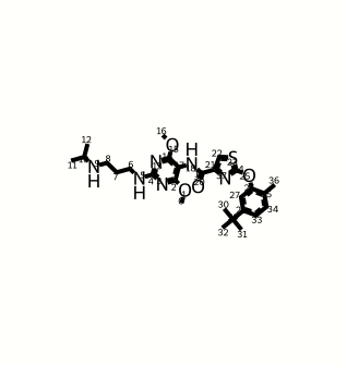 COc1nc(NCCCNC(C)C)nc(OC)c1NC(=O)c1csc(Oc2cc(C(C)(C)C)ccc2C)n1